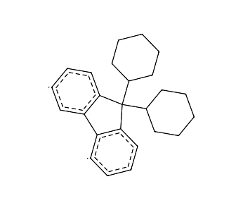 [c]1ccc2c(c1)-c1[c]cccc1C2(C1CCCCC1)C1CCCCC1